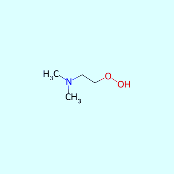 CN(C)CCOO